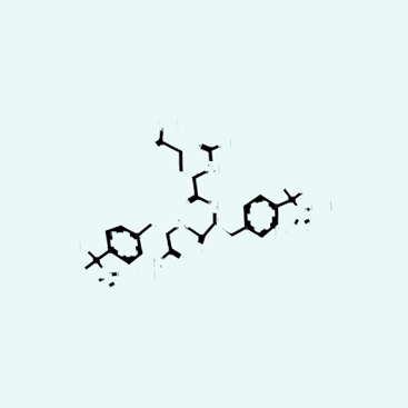 CC(=O)N[C@@H](CCC(=O)O)C(=O)N[C@@H](Cc1ccc(C(F)(F)P(=O)(O)O)cc1)C(=O)N[C@@H](Cc1ccc(C(F)(F)P(=O)(O)O)cc1)C(N)=O